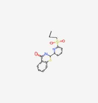 CCCS(=O)(=O)c1cccc(-c2nc(=O)c3ccccc3s2)n1